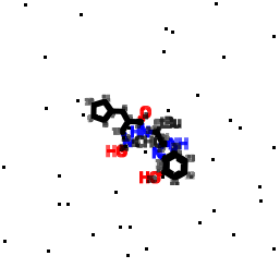 CC(C)(C)[C@H](NC(=O)C(CC1CCCC1)CN(O)C=O)c1nc2c(O)cccc2[nH]1